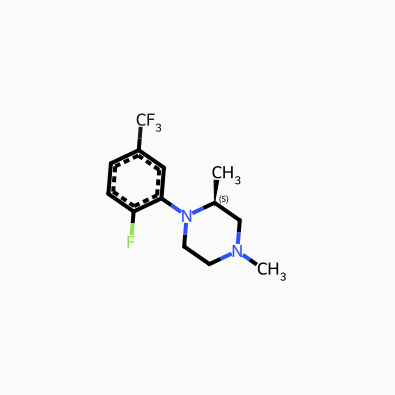 C[C@H]1CN(C)CCN1c1cc(C(F)(F)F)ccc1F